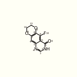 O=c1[nH]cnc2cc3c(c(F)c12)OCCO3